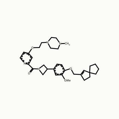 COc1cc(C2CN(C(=O)c3cc(OCCN4CCN(C)CC4)ccn3)C2)ccc1OCC1=CC2(CCCC2)CC1